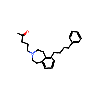 CC(=O)CCCN1CCc2cccc(CCCCc3ccccc3)c2CC1